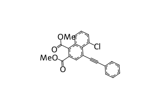 COC(=O)c1cc(C#Cc2ccccc2)c2c(Cl)cccc2c1C(=O)OC